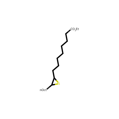 CCCCCCCCC1SC1CCCCCCCC(=O)OCC